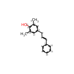 Cc1cc(CC=Cc2ccccc2)cc(C)c1O